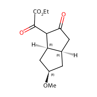 CCOC(=O)C(=O)C1C(=O)C[C@H]2C[C@@H](OC)C[C@@H]12